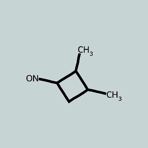 CC1CC(N=O)C1C